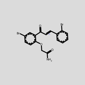 NC(=O)COc1ccc(Br)cc1C(=O)/C=C/c1ccccc1Br